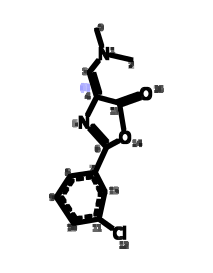 CN(C)/C=C1/N=C(c2cccc(Cl)c2)OC1=O